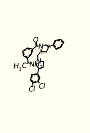 CC(N)c1cccc(C(=O)N2C[C@@H](c3ccccc3)C[C@H]2CN2CCC(c3ccc(Cl)c(Cl)c3)C2)c1